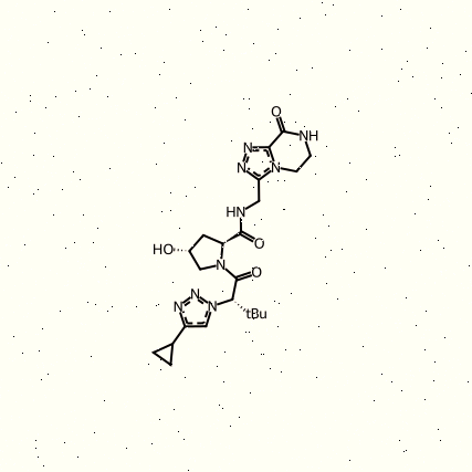 CC(C)(C)[C@@H](C(=O)N1C[C@H](O)C[C@H]1C(=O)NCc1nnc2n1CCNC2=O)n1cc(C2CC2)nn1